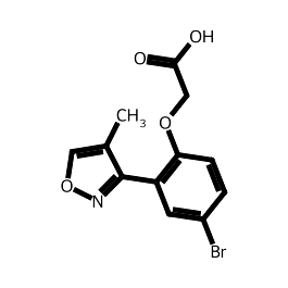 Cc1conc1-c1cc(Br)ccc1OCC(=O)O